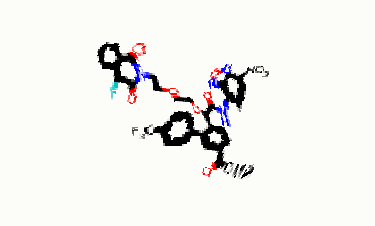 COC(=O)c1ccc(C(OCCOCCN2C(=O)c3ccccc3C(F)C2=O)C(=O)Nc2ccc([N+](=O)[O-])c3nonc23)c(-c2ccc(C(F)(F)F)cc2)c1